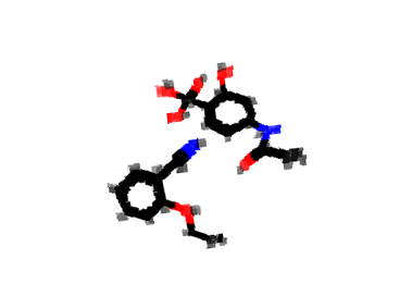 CC(=O)Nc1ccc([As](=O)(O)O)c(O)c1.CCOc1ccccc1C#N